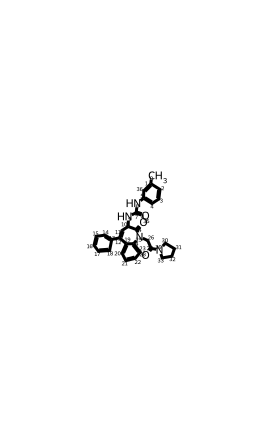 Cc1cccc(NC(=O)NC2C=C(c3ccccc3)c3ccccc3N(CC(=O)N3CCCC3)C2=O)c1